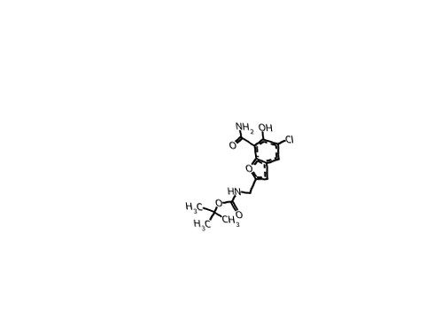 CC(C)(C)OC(=O)NCc1cc2cc(Cl)c(O)c(C(N)=O)c2o1